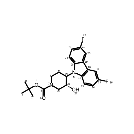 CC(C)(C)OC(=O)N1CCC(n2c3ccc(F)cc3c3cc(F)ccc32)[C@H](O)C1